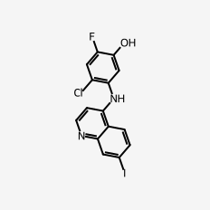 Oc1cc(Nc2ccnc3cc(I)ccc23)c(Cl)cc1F